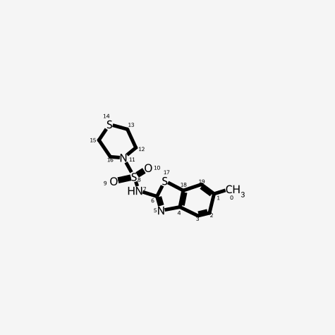 Cc1ccc2nc(NS(=O)(=O)N3CCSCC3)sc2c1